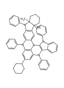 CC12CCCCC1(C)N(c1ccccc1)c1cc3c(cc12)B1c2c(cc(C4CCCCC4)cc2N(c2ccccc2)c2c1n(-c1ccccc1)c1ccccc21)N3c1ccccc1